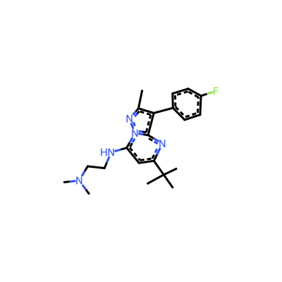 Cc1nn2c(NCCN(C)C)cc(C(C)(C)C)nc2c1-c1ccc(F)cc1